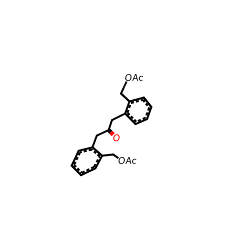 CC(=O)OCc1ccccc1CC(=O)Cc1ccccc1COC(C)=O